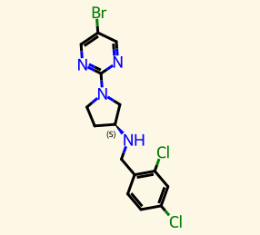 Clc1ccc(CN[C@H]2CCN(c3ncc(Br)cn3)C2)c(Cl)c1